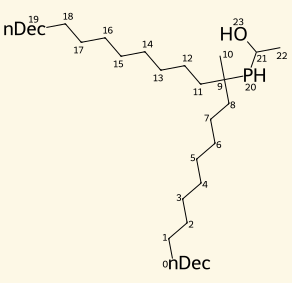 CCCCCCCCCCCCCCCCCCC(C)(CCCCCCCCCCCCCCCCCC)PC(C)O